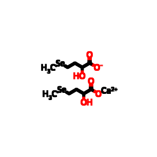 C[Se]CCC(O)C(=O)[O-].C[Se]CCC(O)C(=O)[O-].[Ca+2]